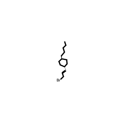 CCCCC[C@H]1CC[C@H](/C=C/CBr)CC1